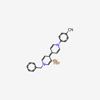 Br.Br.N#Cc1ccc(N2C=CC(=C3C=CN(Cc4ccccc4)C=C3)C=C2)cc1